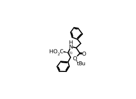 CC(C)(C)OC(=O)C(Cc1ccccc1)N[C@@H](Cc1ccccc1)C(=O)O